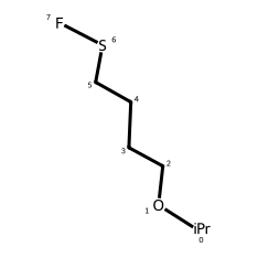 CC(C)OCCCCSF